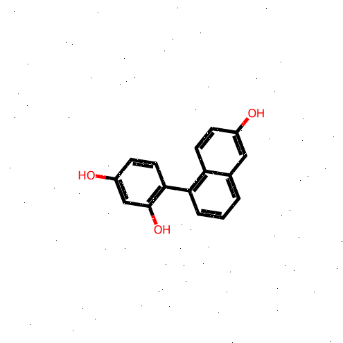 Oc1ccc(-c2cccc3cc(O)ccc23)c(O)c1